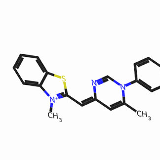 CC1=C/C(=C/c2sc3ccccc3[n+]2C)N=CN1c1ccccc1